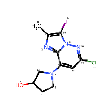 Cc1nc2c(N3CCC(O)C3)cc(Cl)nn2c1I